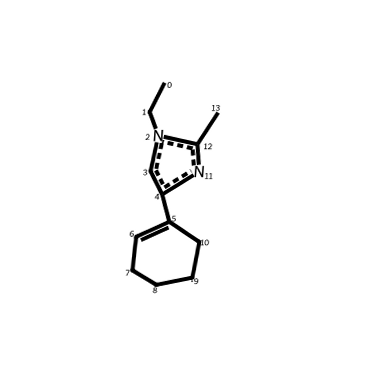 CCn1cc(C2=CCC[CH]C2)nc1C